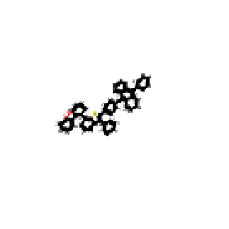 c1ccc(-c2c3ccccc3c(-c3ccc(-c4sc5c(-c6cccc7oc8ccccc8c67)cccc5c4-c4ccccc4)cc3)c3ccccc23)cc1